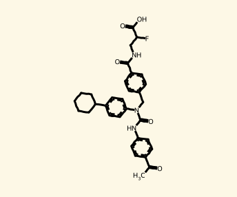 CC(=O)c1ccc(NC(=O)N(Cc2ccc(C(=O)NCC(F)C(=O)O)cc2)c2ccc(C3CCCCC3)cc2)cc1